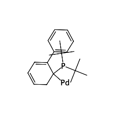 CC(C)(C)P(C(C)(C)C)[C]1([Pd])CC=CC=C1c1ccccc1